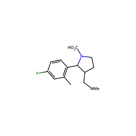 CNCC1CCN(C(=O)O)C1c1ccc(F)cc1C